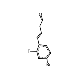 O=CCC=Cc1ccc(Br)cc1F